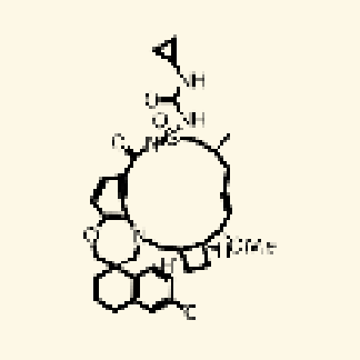 CO[C@H]1/C=C/C[C@H](C)CS(=O)(NC(=O)NC2CC2)=NC(=O)c2ccc3c(c2)N(C[C@@H]2CC[C@H]21)C[C@@]1(CCCc2cc(Cl)ccc21)CO3